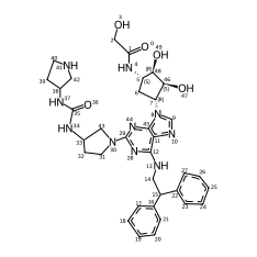 O=C(CO)N[C@H]1C[C@@H](n2cnc3c(NCC(c4ccccc4)c4ccccc4)nc(N4CCC(NC(=O)NC5CCNC5)C4)nc32)[C@H](O)[C@@H]1O